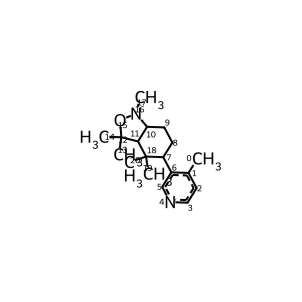 Cc1ccncc1C1CCC2C(C(C)(C)ON2C)C1(C)C